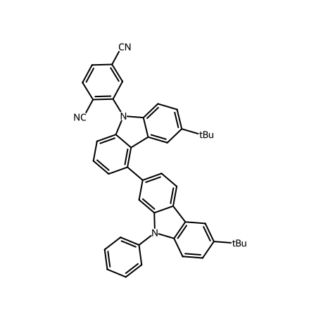 CC(C)(C)c1ccc2c(c1)c1ccc(-c3cccc4c3c3cc(C(C)(C)C)ccc3n4-c3cc(C#N)ccc3C#N)cc1n2-c1ccccc1